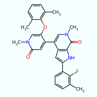 Cc1cccc(-c2cc3c(-c4cc(=O)n(C)cc4Oc4c(C)cccc4C)cn(C)c(=O)c3[nH]2)c1F